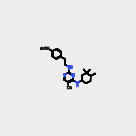 CC(=O)Nc1ccc(CCNc2ncc(C#N)c(N[C@@H]3CC[C@H](C)C(C)(C)C3)n2)cc1